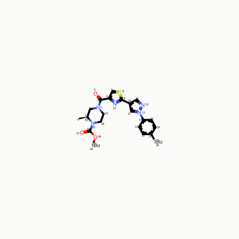 C[C@H]1CN(C(=O)c2csc(-c3cnn(-c4ccc(C(C)(C)C)cc4)c3)n2)CCN1C(=O)OC(C)(C)C